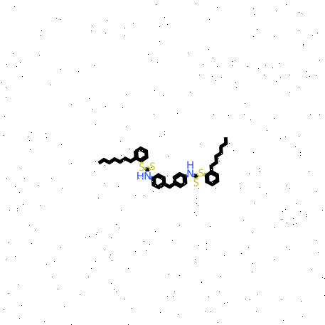 CCCCCCCc1ccccc1SC(=S)Nc1ccc(Cc2ccc(NC(=S)Sc3ccccc3CCCCCCC)cc2)cc1